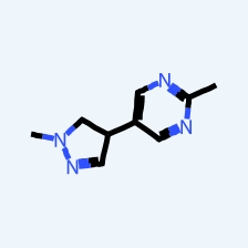 Cc1ncc(C2C=NN(C)C2)cn1